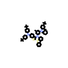 Cc1cc(N(c2csc3cc(N(c4ccc(C(C)(C)C)cc4)c4ccc(C(C)(C)C)cc4)ccc23)c2cccc3c2sc2ccccc23)cc(N2c3ccc(C(C)(C)C)cc3C3(C)CCCCC23C)c1